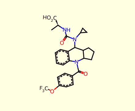 C[C@H](NC(=O)N(C1CC1)C1c2ccccc2N(C(=O)c2ccc(OC(F)(F)F)cc2)C2CCCC21)C(=O)O